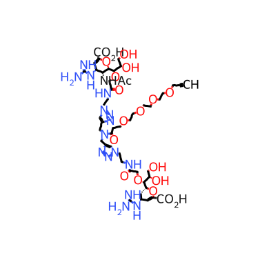 C#CCOCCOCCOCCOCCC(=O)N(Cc1cn(CCNC(=O)CO[C@H]([C@H](O)CO)[C@H]2C[C@@H](NC(=N)N)C=C(C(=O)O)O2)nn1)Cc1cn(CCNC(=O)CO[C@@H]([C@@H]2OC(C(=O)O)=C[C@H](NC(=N)N)[C@H]2NC(C)=O)[C@H](O)CO)nn1